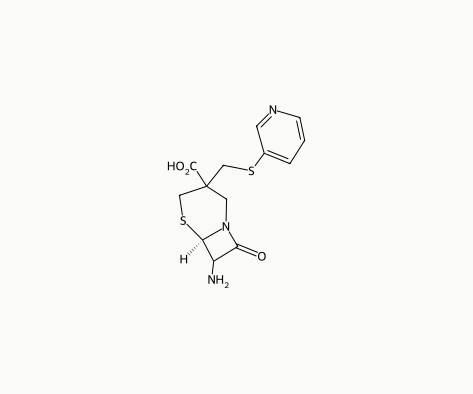 NC1C(=O)N2CC(CSc3cccnc3)(C(=O)O)CS[C@H]12